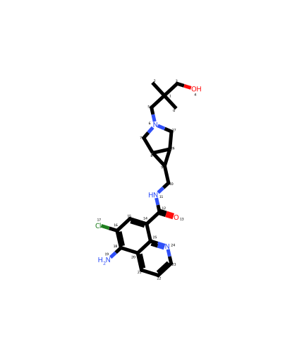 CC(C)(CO)CN1CC2C(CNC(=O)c3cc(Cl)c(N)c4cccnc34)C2C1